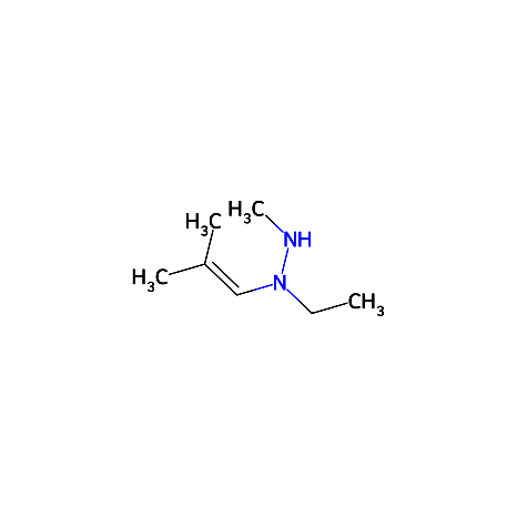 CCN(C=C(C)C)NC